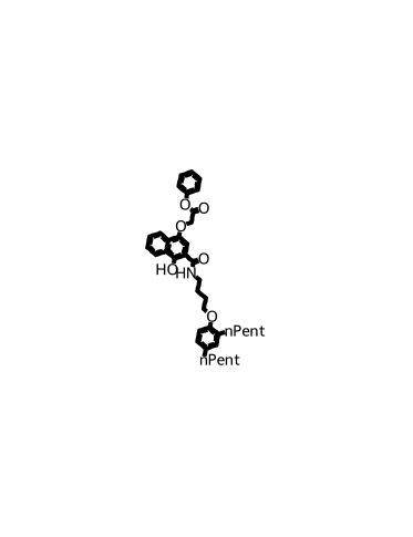 CCCCCc1ccc(OCCCCNC(=O)c2cc(OCC(=O)Oc3ccccc3)c3ccccc3c2O)c(CCCCC)c1